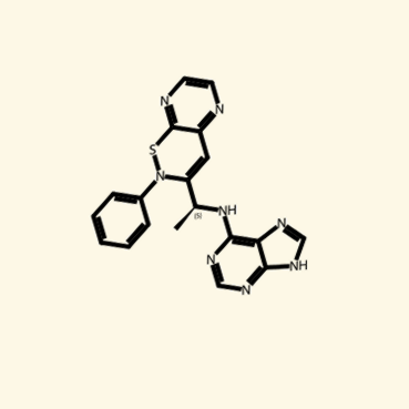 C[C@H](Nc1ncnc2[nH]cnc12)C1=Cc2nccnc2SN1c1ccccc1